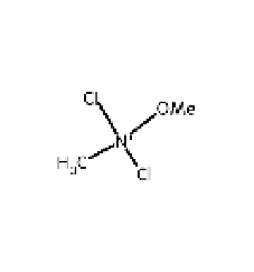 CO[N+](C)(Cl)Cl